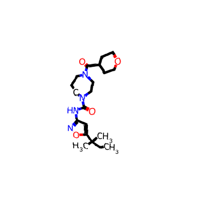 CCC(C)(C)c1cc(NC(=O)N2CCCN(C(=O)C3CCOCC3)CC2)no1